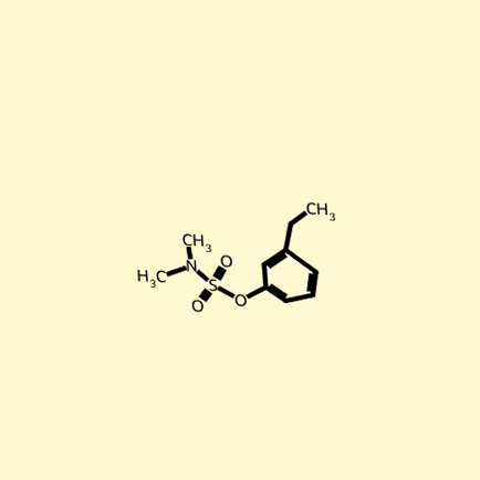 CCc1cccc(OS(=O)(=O)N(C)C)c1